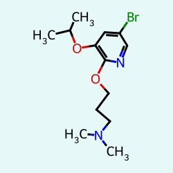 CC(C)Oc1cc(Br)cnc1OCCCN(C)C